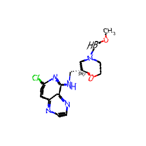 COBN1CCO[C@H](CNc2nc(Cl)cc3nccnc23)C1